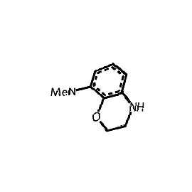 CNc1cccc2c1OCCN2